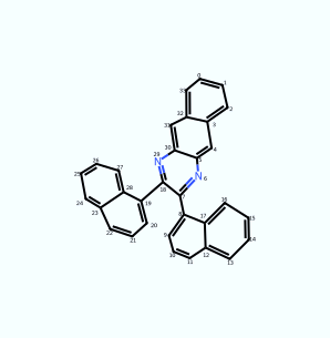 c1ccc2cc3nc(-c4cccc5ccccc45)c(-c4cccc5ccccc45)nc3cc2c1